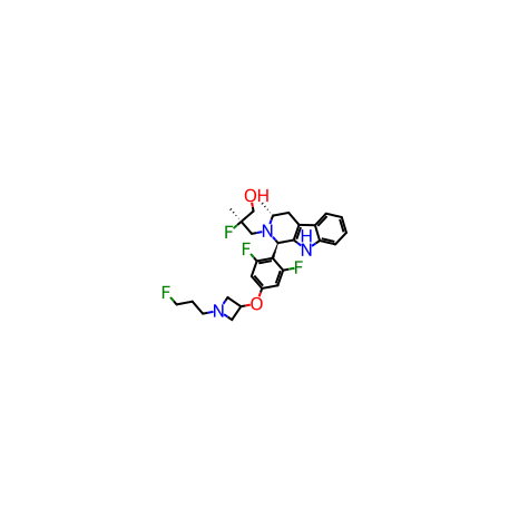 C[C@@H]1Cc2c([nH]c3ccccc23)[C@@H](c2c(F)cc(OC3CN(CCCF)C3)cc2F)N1C[C@@](C)(F)CO